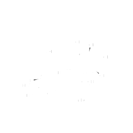 CCCCc1cc2c(c(OC3O[C@H](O)[C@@H](O)[C@H](O)[C@H]3CO)c1C(=O)O)[C@@H]1C=C(C)CC[C@H]1C(C)(C)O2